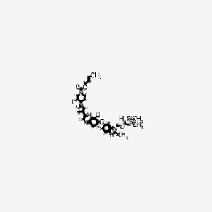 CCCCOC(=O)N1CC[C@H](n2cc(-c3cnc4ccc(Oc5ccc6nc(C)n(COCC[Si](C)(C)C)c6c5)c(Cl)c4n3)cn2)[C@@H](F)C1